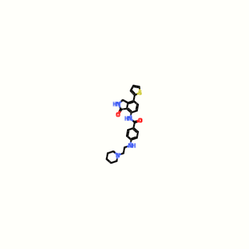 O=C(Nc1ccc(-c2cccs2)c2c1C(=O)NC2)c1ccc(NCCN2CCCCC2)cc1